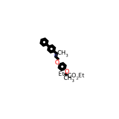 CCOC(=O)[C@](C)(CC)Oc1ccc(OC/C=C(\C)c2ccc(-c3ccccc3)cc2)cc1